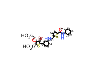 O=C(O)COc1c(C(=O)O)sc(-c2cccc(NCc3ccc(C(=O)Nc4ccccc4)s3)c2)c1Br